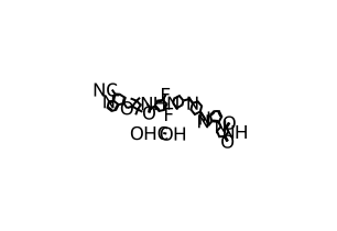 CC1(C)C(NC(=O)c2cc(F)c(N3CCC(CN4CCC(n5ncc6c(N7CCC(=O)NC7=O)cccc65)CC4)CC3)c(F)c2)C(C)(C)C1Oc1ccc(C#N)c2ncccc12.O=CO